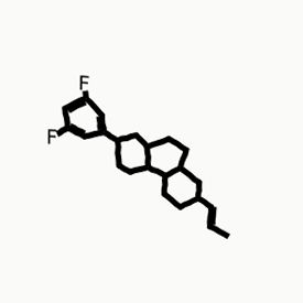 C/C=C/C1CCC2C(CCC3CC(c4cc(F)cc(F)c4)CCC32)C1